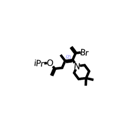 C=C(C/C(C)=C(/C(=C)Br)N1CCC(C)(C)CC1)OC(C)C